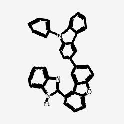 CCn1c(-c2cccc3oc4ccc(-c5ccc6c(c5)c5ccccc5n6-c5ccccc5)cc4c23)nc2ccccc21